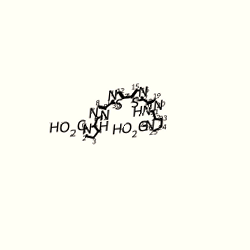 O=C(O)N1CCCC1c1ncc(-c2ncc(-c3cnc(-c4cnc(C5CCCN5C(=O)O)[nH]4)s3)s2)[nH]1